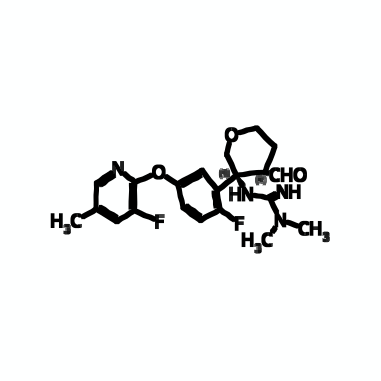 Cc1cnc(Oc2ccc(F)c([C@]3(NC(=N)N(C)C)COCC[C@H]3C=O)c2)c(F)c1